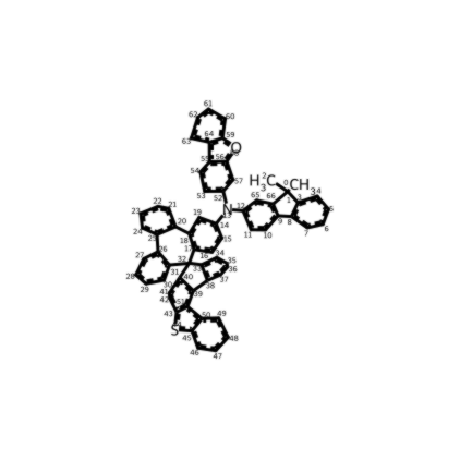 CC1(C)c2ccccc2-c2ccc(N(c3ccc4c(c3)-c3ccccc3-c3ccccc3C43c4ccccc4-c4c3ccc3sc5ccccc5c43)c3ccc4c(c3)oc3ccccc34)cc21